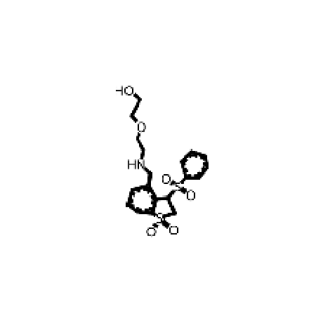 O=S1(=O)CC(S(=O)(=O)c2ccccc2)c2c(CNCCOCCO)cccc21